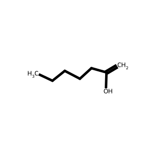 C=C(O)CCCCC